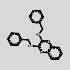 c1ccc(CNc2nc3ccccc3nc2NCc2ccccc2)cc1